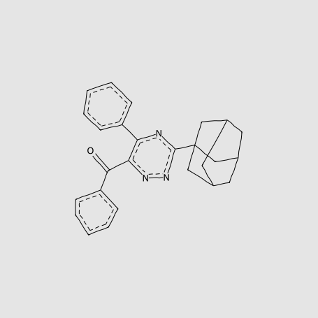 O=C(c1ccccc1)c1nnc(C23CC4CC(CC(C4)C2)C3)nc1-c1ccccc1